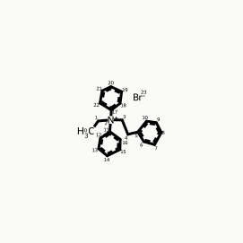 CC[N+](CCc1ccccc1)(c1ccccc1)c1ccccc1.[Br-]